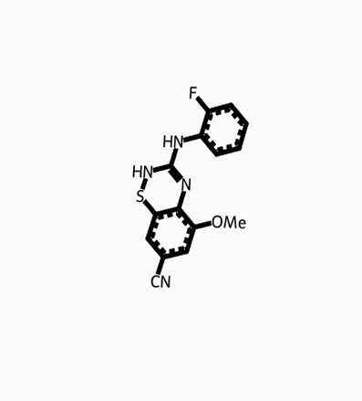 COc1cc(C#N)cc2c1N=C(Nc1ccccc1F)NS2